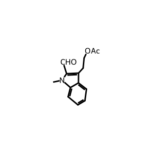 CC(=O)OCCc1c(C=O)n(C)c2ccccc12